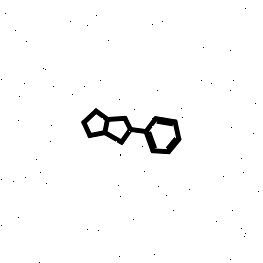 c1ccc(C2CC3CCCC3C2)cc1